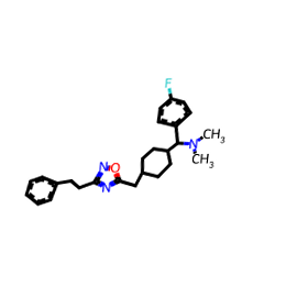 CN(C)C(c1ccc(F)cc1)C1CCC(Cc2nc(CCc3ccccc3)no2)CC1